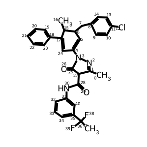 CC1=NN(C2=CC(Cc3ccc(Cl)cc3)C(C)C(c3ccccc3)=C2)C(=O)C1C(=O)Nc1cccc(C(C)(F)F)c1